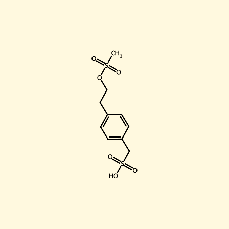 CS(=O)(=O)OCCc1ccc(CS(=O)(=O)O)cc1